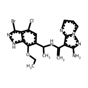 C=C(NC(C)c1cc(Cl)c2c(Br)n[nH]c2c1OCC)c1c(N)nn2cccnc12